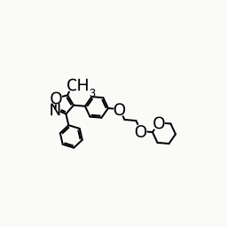 Cc1onc(-c2ccccc2)c1-c1ccc(OCCOC2CCCCO2)cc1